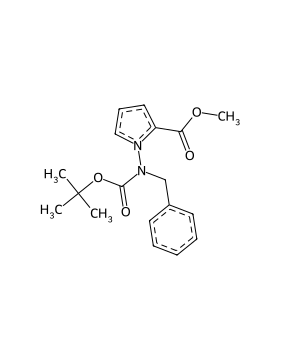 COC(=O)c1cccn1N(Cc1ccccc1)C(=O)OC(C)(C)C